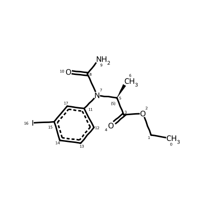 CCOC(=O)[C@H](C)N(C(N)=O)c1cccc(I)c1